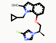 C[C@H](COc1cccc2cc(C=O)n(CC3CC3)c12)n1cnc(F)c1